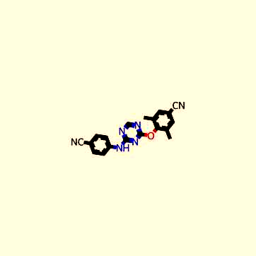 Cc1cc(C#N)cc(C)c1Oc1ncnc(Nc2ccc(C#N)cc2)n1